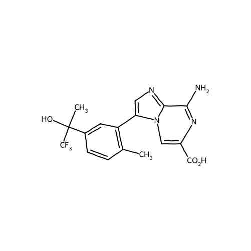 Cc1ccc(C(C)(O)C(F)(F)F)cc1-c1cnc2c(N)nc(C(=O)O)cn12